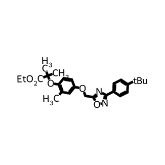 CCOC(=O)C(C)(C)Oc1ccc(OCc2nc(-c3ccc(C(C)(C)C)cc3)no2)cc1C